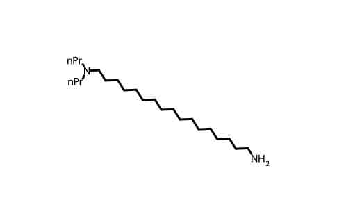 CCCN(CCC)CCCCCCCCCCCCCCCCCN